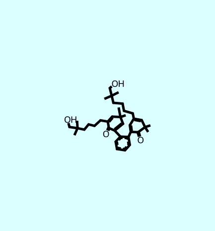 CC1(C)C=C(CCCCC(C)(C)CO)C(=O)C(c2ccccc2C2=CC(CCCCC(C)(C)CO)=CC(C)(C)C2=O)=C1